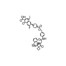 CCn1cc(C(=O)O)c(=O)c2cc(F)c(N3CCN(C(=O)OCc4ccc(NC(=O)CNC(=O)C5(C(=O)NC(C)c6ccccc6)CCC5)cc4)CC3)cc21